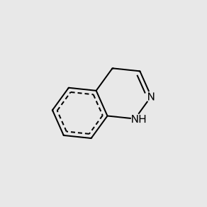 C1=NNc2ccccc2C1